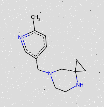 Cc1ccc(CN2CCNC3(CC3)C2)cn1